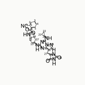 N#Cc1ccccc1S(=O)(=O)N[C@H]1CC[C@H](Nc2nc(NC3CC3)n3ncc(/C=C4\NC(=O)NC4=O)c3n2)CC1